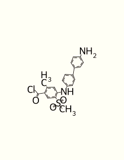 Cc1cc(Nc2ccc(-c3ccc(N)cc3)cc2)c(S(C)(=O)=O)cc1C(=O)Cl